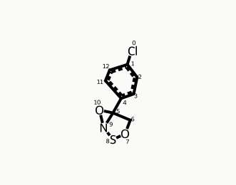 Clc1ccc(C23COSN2O3)cc1